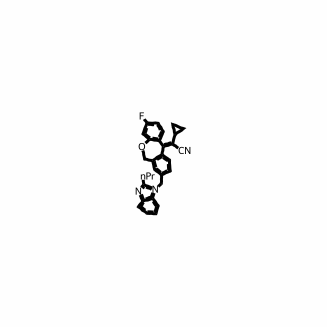 CCCc1nc2ccccc2n1Cc1ccc2c(c1)COc1cc(F)ccc1C2=C(C#N)C1CC1